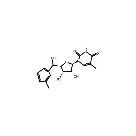 Cc1cccc(C(O)[C@H]2O[C@@H](n3cc(I)c(=O)[nH]c3=O)[C@H](O)[C@@H]2O)c1